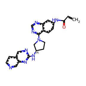 C=CC(=O)Nc1ccc2c(N3CC[C@@H](Nc4ncc5ccncc5n4)C3)ncnc2c1